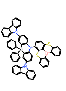 c1ccc([Si]2(c3ccccc3)c3cc(-n4c5ccccc5c5ccccc54)ccc3N(c3ccc4c5c3Sc3ccccc3B5c3ccccc3S4)c3ccc(-n4c5ccccc5c5ccccc54)cc32)cc1